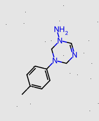 Cc1ccc(N2CN=CN(N)C2)cc1